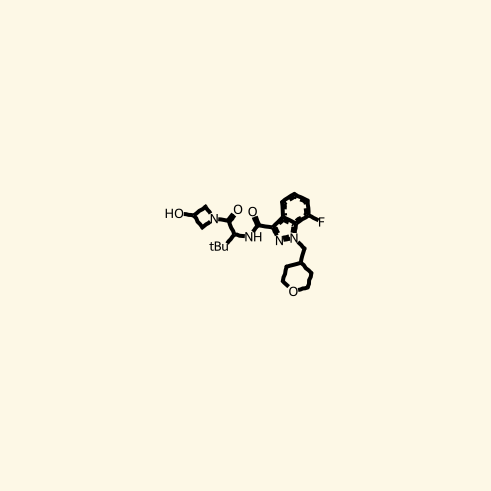 CC(C)(C)C(NC(=O)c1nn(CC2CCOCC2)c2c(F)cccc12)C(=O)N1CC(O)C1